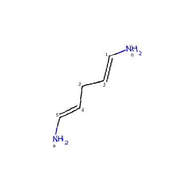 NC=CCC=CN